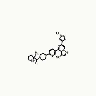 Cn1cc(-c2cn3ncc(C#N)c3c(-c3ccc(N4CCN(C(=O)C5(C)CCCN5)CC4)nc3)n2)cn1